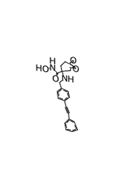 O=C(NO)C1(NCc2ccc(C#Cc3ccccc3)cc2)CCS(=O)(=O)C1